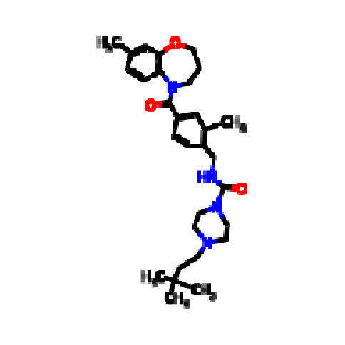 Cc1ccc2c(c1)OCCCN2C(=O)c1ccc(CNC(=O)N2CCN(CCC(C)(C)C)CC2)c(C)c1